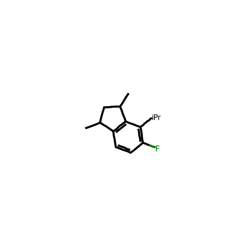 CC(C)c1c(F)ccc2c1C(C)CC2C